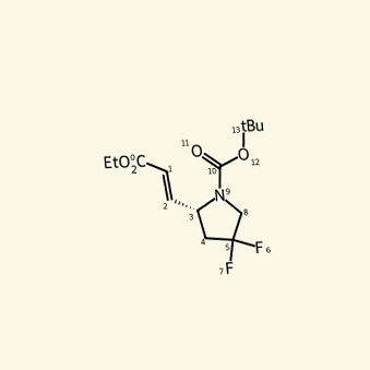 CCOC(=O)C=C[C@H]1CC(F)(F)CN1C(=O)OC(C)(C)C